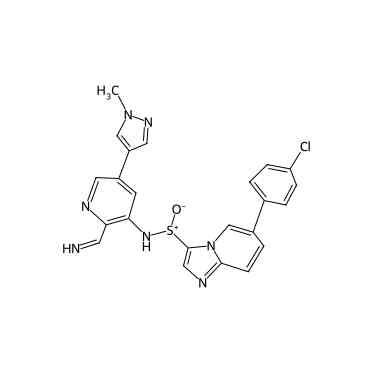 Cn1cc(-c2cnc(C=N)c(N[S+]([O-])c3cnc4ccc(-c5ccc(Cl)cc5)cn34)c2)cn1